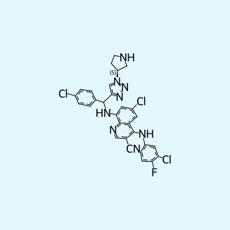 N#Cc1cnc2c(NC(c3ccc(Cl)cc3)c3cn([C@H]4CCNC4)nn3)cc(Cl)cc2c1Nc1ccc(F)c(Cl)c1